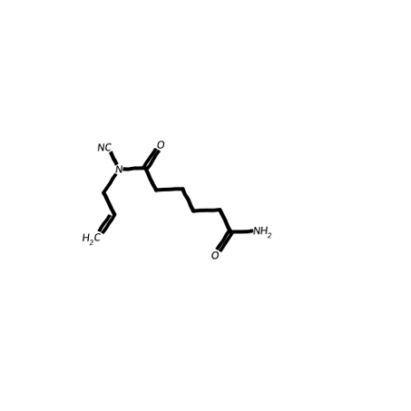 C=CCN(C#N)C(=O)CCCCC(N)=O